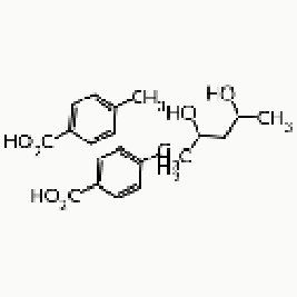 CC(O)CC(C)O.Cc1ccc(C(=O)O)cc1.Cc1ccc(C(=O)O)cc1